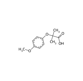 COc1ccc(OC(C)(C)C(=O)O)cc1